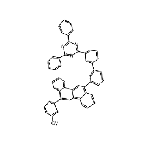 N#Cc1cccc(-c2cc3c4ccccc4c(-c4cccc(-c5cccc(-c6nc(-c7ccccc7)nc(-c7ccccc7)n6)c5)c4)cc3c3ccccc23)c1